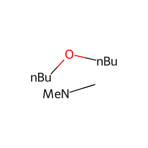 CCCCOCCCC.CNC